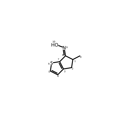 CC1Cc2ccsc2C1=NO